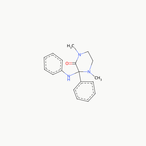 CN1CCN(C)C(Nc2ccccc2)(c2ccccc2)C1=O